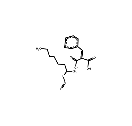 CCCCCCC(C)ON=O.O=C(O)C(=Cc1ccccc1)C(=O)O